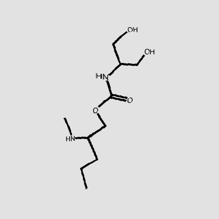 CCCC(COC(=O)NC(CO)CO)NC